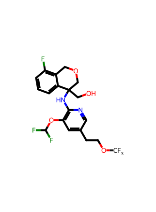 OCC1(Nc2ncc(CCOC(F)(F)F)cc2OC(F)F)COCc2c(F)cccc21